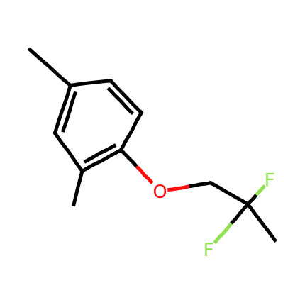 Cc1ccc(OCC(C)(F)F)c(C)c1